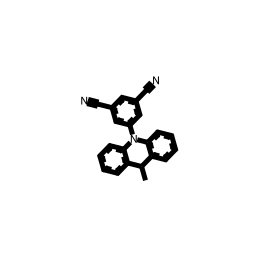 CC1c2ccccc2N(c2cc(C#N)cc(C#N)c2)c2ccccc21